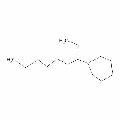 CCCCCCC(CC)C1CCCCC1